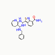 NC(=O)c1cccc2c(C3NC4=C(CC=CC=N4)C(NCc4ccccc4)N3)snc12